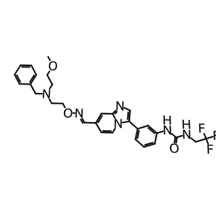 COCCN(CCON=Cc1ccn2c(-c3cccc(NC(=O)NCC(F)(F)F)c3)cnc2c1)Cc1ccccc1